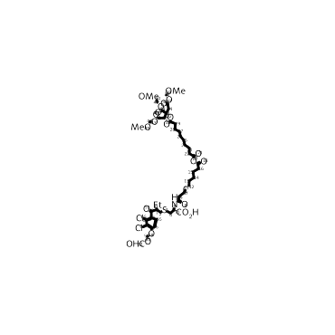 CCC(CSC[C@H](NC(=O)CCCCCCCCC(=O)OC(=O)CCCCCCCCC(=O)OC(CC(=O)OCOC)(CC(=O)OCOC)C(=O)OCOC)C(=O)O)C(=O)c1ccc(OCOC=O)c(Cl)c1Cl